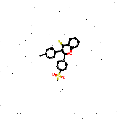 Cc1ccc(-c2c(-c3ccc(S(C)(=O)=O)cc3)oc3ccccc3c2=S)cc1